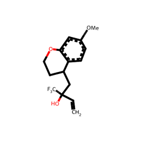 C=CC(O)(CC1CCOc2cc(OC)ccc21)C(F)(F)F